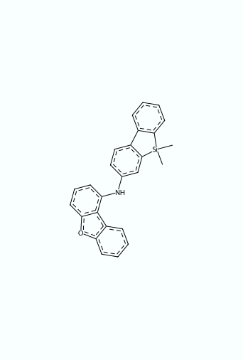 C[Si]1(C)c2ccccc2-c2ccc(Nc3cccc4oc5ccccc5c34)cc21